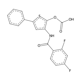 O=C(O)Oc1sc(-c2ccccc2)cc1NC(=O)c1ccc(F)cc1F